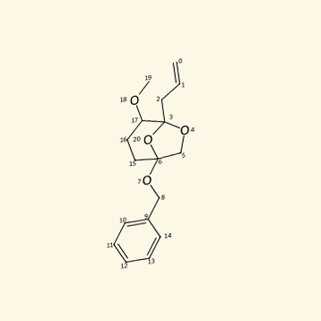 C=CCC12OCC(OCc3ccccc3)(CCC1OC)O2